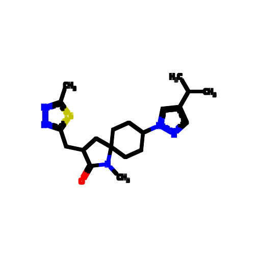 Cc1nnc(CC2CC3(CCC(n4cc(C(C)C)cn4)CC3)N(C)C2=O)s1